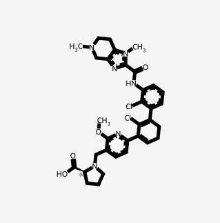 COc1nc(C2=CCCC(c3cccc(NC(=O)c4nc5c(n4C)CCN(C)C5)c3Cl)=C2Cl)ccc1CN1CCC[C@H]1C(=O)O